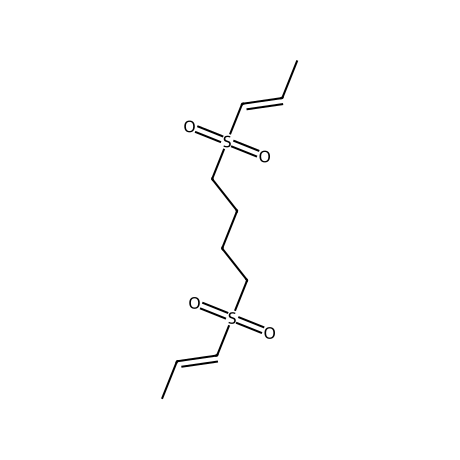 CC=CS(=O)(=O)CCCCS(=O)(=O)C=CC